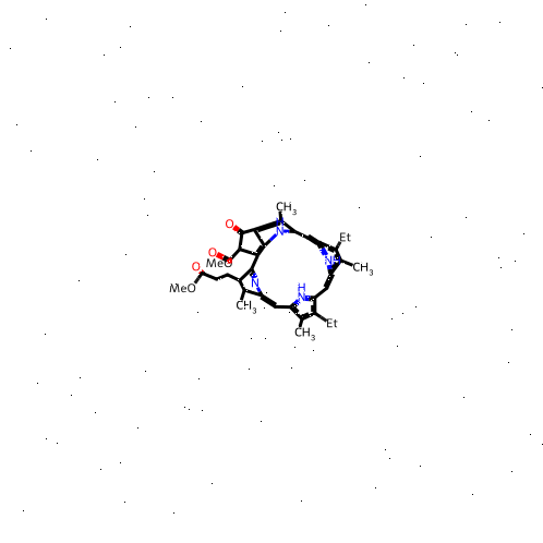 CCc1c2[nH]c(c1C)C=C1N=C(C3=C4NC(C=c5[nH]c(c(C)c5CC)=C2)C(C)=C4C(=O)C3C(=O)OC)C(CCC(=O)OC)C1C